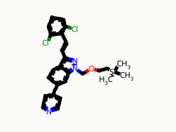 C[Si](C)(C)CCOCn1nc(C=Cc2c(Cl)cccc2Cl)c2ccc(-c3ccncc3)cc21